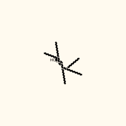 CCCCCCCCCCCCN(CCCCCCCCCCCC)CCN(CCCCCCCCCCCC)CCN1CCN(CCN(CCCCCCCCCCCC)C(CCCCCCCCCC)C(=O)O)CC1